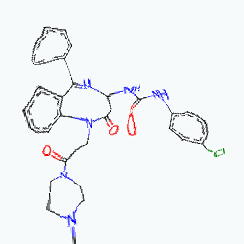 CN1CCN(C(=O)CN2C(=O)C(NC(=O)Nc3ccc(Cl)cc3)N=C(c3ccccc3)c3ccccc32)CC1